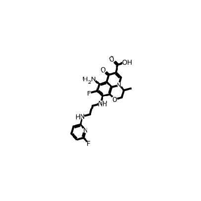 CC1COc2c(NCCNc3cccc(F)n3)c(F)c(N)c3c(=O)c(C(=O)O)cn1c23